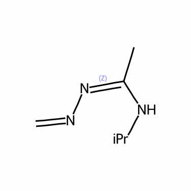 C=N/N=C(/C)NC(C)C